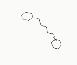 C1CCC(CCCCCN2CCCCC2)CC1